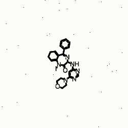 O=C1C(Nc2cc(N3CCOCC3)ncn2)N=C(c2ccccc2)C2=CCCC=C2N1I